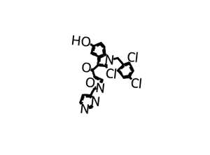 O=C(c1cnc(-c2ccncn2)o1)c1c(Cl)n(Cc2ccc(Cl)cc2Cl)c2ccc(O)cc12